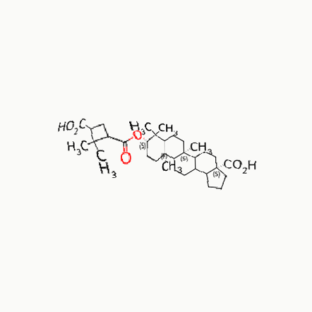 CC1(C)C(C(=O)O)CC1C(=O)O[C@H]1CC[C@@]2(C)C(CC[C@@]3(C)C4CC[C@@]5(C(=O)O)CCCC5C4CCC32)C1(C)C